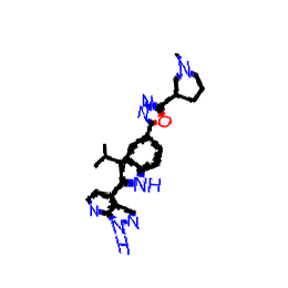 CC(C)c1c(-c2ccnc3[nH]ncc23)[nH]c2ccc(-c3nnc(C4CCCN(C)C4)o3)cc12